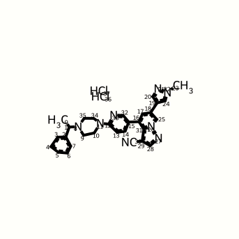 CC(c1ccccc1)N1CCN(c2ccc(-c3cc(-c4cnn(C)c4)cn4ncc(C#N)c34)cn2)CC1.Cl.Cl